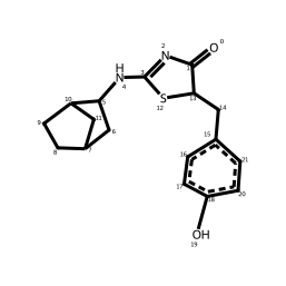 O=C1N=C(NC2CC3CCC2C3)SC1Cc1ccc(O)cc1